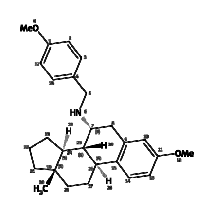 COc1ccc(CN[C@@H]2Cc3cc(OC)ccc3[C@H]3CC[C@]4(C)CCC[C@H]4[C@@H]32)cc1